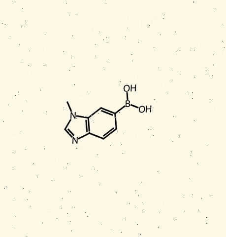 Cn1cnc2ccc(B(O)O)cc21